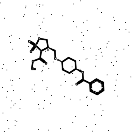 CC(C)(C)OC(=O)N1[C@H](CO[C@H]2CC[C@H](OC(=O)c3ccccc3)CC2)COS1(=O)=O